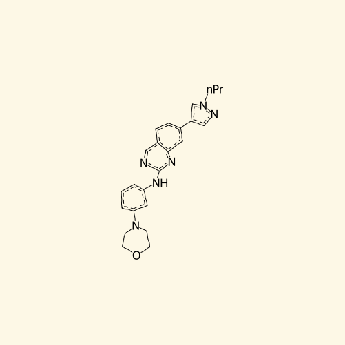 CCCn1cc(-c2ccc3cnc(Nc4cccc(N5CCOCC5)c4)nc3c2)cn1